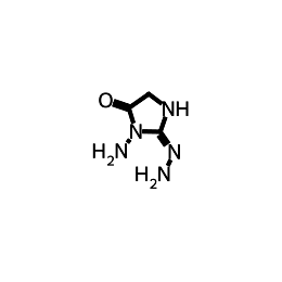 N/N=C1/NCC(=O)N1N